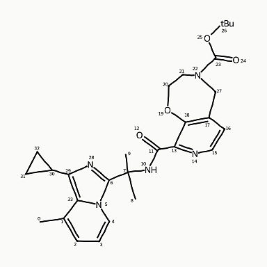 Cc1cccn2c(C(C)(C)NC(=O)c3nccc4c3OCCN(C(=O)OC(C)(C)C)C4)nc(C3CC3)c12